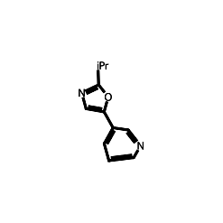 CC(C)c1ncc(-c2cccnc2)o1